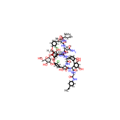 C#Cc1ccc(NC(=O)CNC(=O)C2NC(=O)[C@H]3NC(=O)[C@H](NC(=O)C4NC(=O)[C@H](CC(N)=O)NC(=O)[C@H](NC(=O)[C@@H](CC(C)C)NC)[C@H](O)c5ccc(c(Cl)c5)Oc5cc4cc(c5O[C@@H]4O[C@H](CO)[C@@H](O)[C@H](O)[C@H]4OC4C[C@](C)(N)[C@H](O)[C@H](C)O4)Oc4ccc(cc4Cl)[C@H]3O)c3ccc(O)c(c3)-c3c(O)cc(O)cc32)cc1